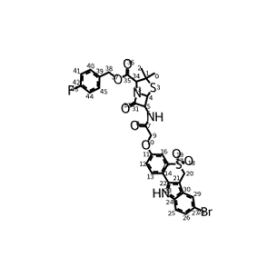 CC1(C)SC2C(NC(=O)COc3ccc4c(c3)S(=O)(=O)Cc3c-4[nH]c4ccc(Br)cc34)C(=O)N2C1C(=O)OCc1ccc(F)cc1